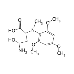 COc1cc(OC)c(N(C)C(CC(N)O)C(=O)O)c(OC)c1